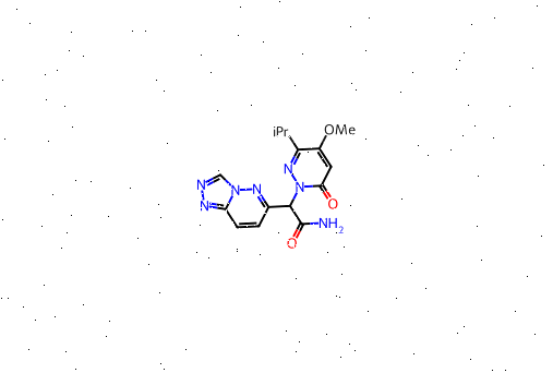 COc1cc(=O)n(C(C(N)=O)c2ccc3nncn3n2)nc1C(C)C